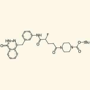 CC(C)(C)OC(=O)N1CCN(C(=O)CCC(F)C(=O)Nc2cccc(Cc3n[nH]c(=O)c4ccccc34)c2)CC1